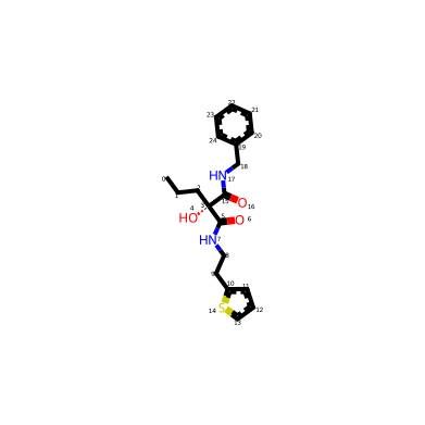 CCC[C@](O)(C(=O)NCCc1cccs1)C(=O)NCc1ccccc1